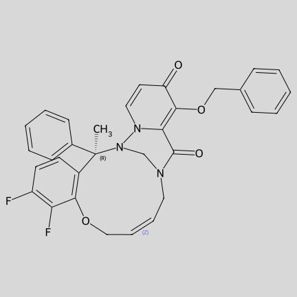 C[C@@]1(c2ccccc2)c2ccc(F)c(F)c2OC/C=C\CN2CN1n1ccc(=O)c(OCc3ccccc3)c1C2=O